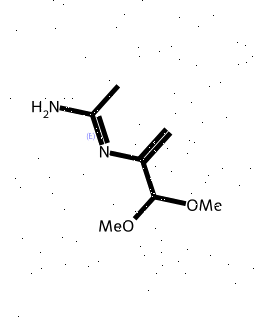 C=C(/N=C(\C)N)C(OC)OC